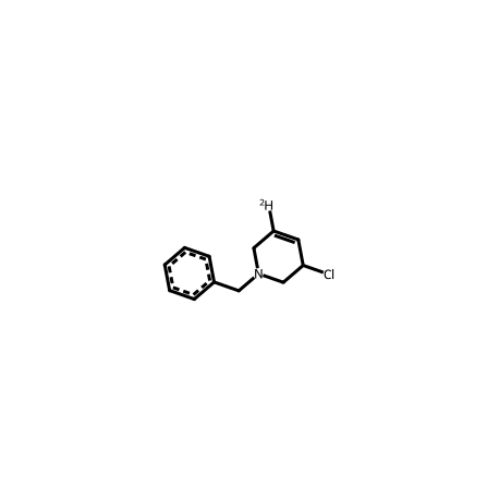 [2H]C1=CC(Cl)CN(Cc2ccccc2)C1